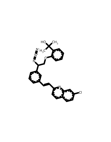 CC(C)(O)c1ccccc1OCC(N=[N+]=[N-])c1cccc(/C=C/c2ccc3ccc(Cl)cc3n2)c1